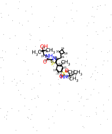 CCC(C)(C)NS(=O)(=O)c1ccc(-c2sc(C(=O)NCC(C)(C)O)nc2CC2CCC2)c(C)c1